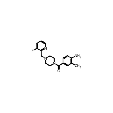 Cc1cc(C(=O)N2CCN(Cc3ncccc3F)CC2)ccc1N